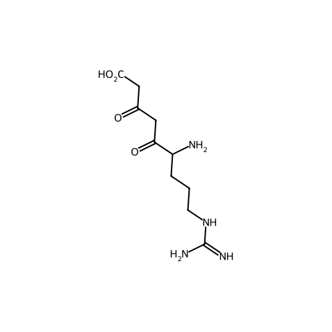 N=C(N)NCCCC(N)C(=O)CC(=O)CC(=O)O